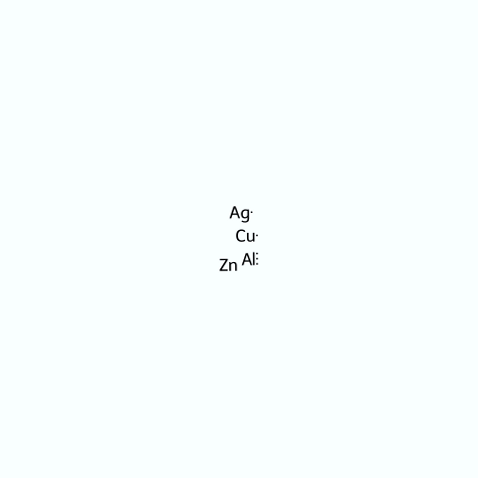 [Ag].[Al].[Cu].[Zn]